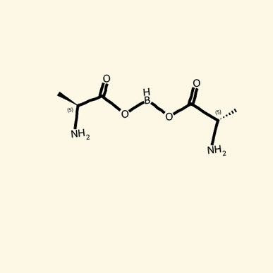 C[C@H](N)C(=O)OBOC(=O)[C@H](C)N